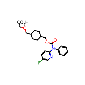 O=C(O)COCC1CCC(COC(=O)N(c2ccccc2)c2ccc(F)cn2)CC1